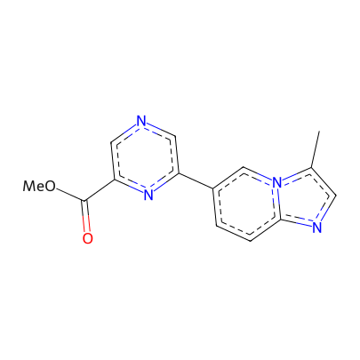 COC(=O)c1cncc(-c2ccc3ncc(C)n3c2)n1